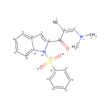 CN(C)/C=C(/C#N)C(=O)c1cc2ccccc2n1S(=O)(=O)c1ccccc1